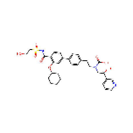 O=C(NS(=O)(=O)CCO)c1ccc(-c2ccc(CCN(C[C@@H](O)c3cccnc3)C(=O)O)cc2)cc1OC1CCCCC1